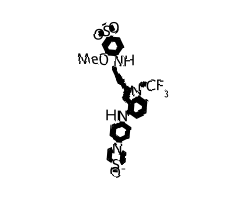 COc1cc(S(C)(=O)=O)ccc1NCC#Cc1cc2c(NC3CCC(N4CC[S+]([O-])CC4)CC3)cccc2n1CC(F)(F)F